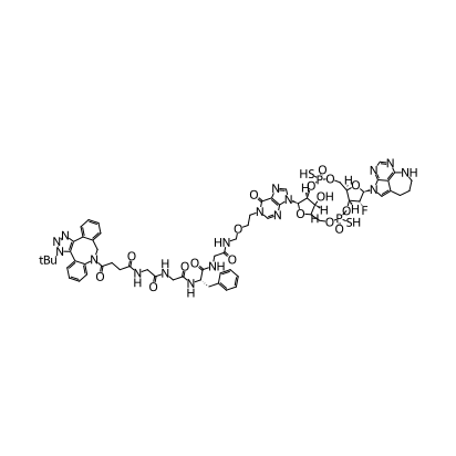 CC(C)(C)n1nnc2c1-c1ccccc1N(C(=O)CCC(=O)NCC(=O)NCC(=O)N[C@@H](Cc1ccccc1)C(=O)NCC(=O)NCOCCn1cnc3c(ncn3[C@@H]3O[C@@H]4COP(=O)(S)O[C@H]5[C@@H](F)[C@H](n6cc7c8c(ncnc86)NCCC7)O[C@@H]5COP(=O)(S)O[C@@H]3[C@@H]4O)c1=O)Cc1ccccc1-2